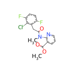 COC(=O)c1cccnc1N(C)C(=O)Cc1c(F)ccc(F)c1Cl